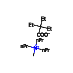 CCC(CC)(CC)C(=O)[O-].CCC[N+](C)(CCC)CCC